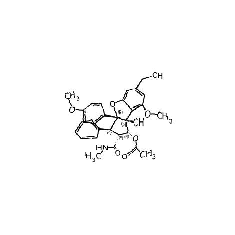 CNC(=O)[C@H]1[C@@H](OC(C)=O)[C@@]2(O)c3c(OC)cc(CO)cc3O[C@@]2(c2ccc(OC)cc2)[C@@H]1c1ccccc1